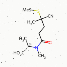 CSSC(C)(C#N)CCC(=O)N(C)[C@@H](C)C(=O)O